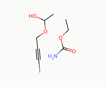 CC(O)OCC#CI.CCOC(N)=O